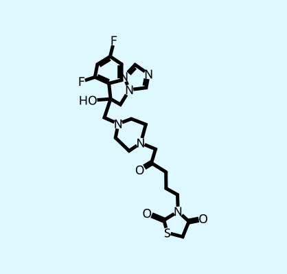 O=C(CCCN1C(=O)CSC1=O)CN1CCN(CC(O)(Cn2cncn2)c2ccc(F)cc2F)CC1